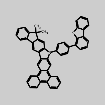 CC1(C)c2ccccc2-c2cc3c4cc5c6ccccc6c6ccccc6c5cc4n(-c4ccc(-c5cccc6c5sc5ccccc56)cc4)c3cc21